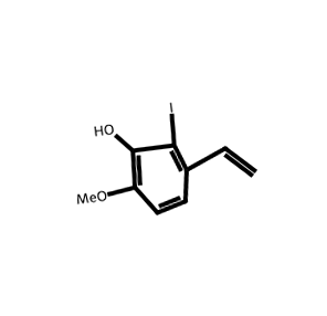 C=Cc1ccc(OC)c(O)c1I